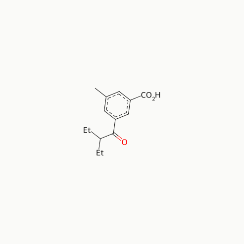 CCC(CC)C(=O)c1cc(C)cc(C(=O)O)c1